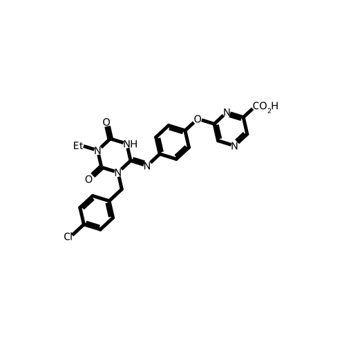 CCn1c(=O)[nH]/c(=N\c2ccc(Oc3cncc(C(=O)O)n3)cc2)n(Cc2ccc(Cl)cc2)c1=O